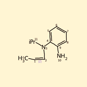 C/C=C\N(c1ccccc1N)C(C)C